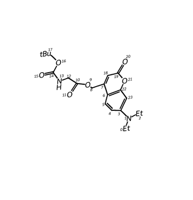 CCN(CC)c1ccc2c(COC(=O)CNC(=O)OC(C)(C)C)cc(=O)oc2c1